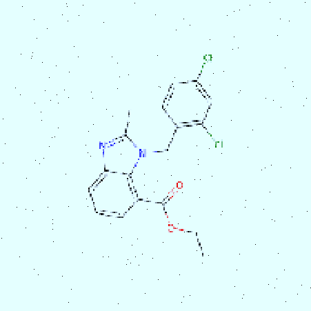 CCOC(=O)c1cccc2nc(C)n(Cc3ccc(Cl)cc3Cl)c12